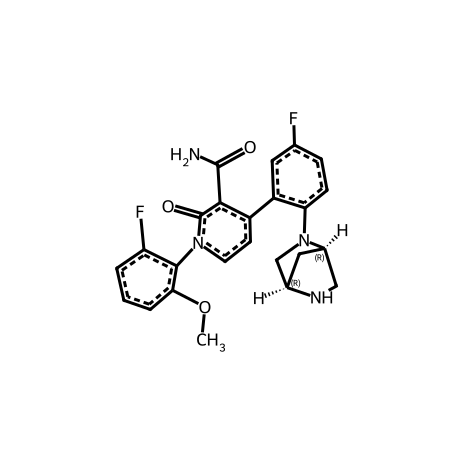 COc1cccc(F)c1-n1ccc(-c2cc(F)ccc2N2C[C@H]3C[C@@H]2CN3)c(C(N)=O)c1=O